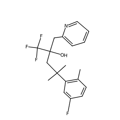 Cc1ccc(F)cc1C(C)(C)CC(O)(Cc1ccccn1)C(F)(F)F